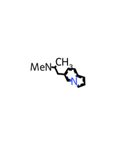 CNC(C)Cc1ccc2cccn2c1